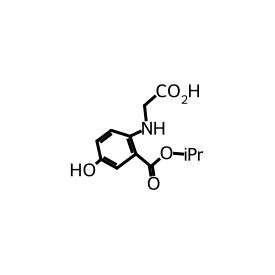 CC(C)OC(=O)c1cc(O)ccc1NCC(=O)O